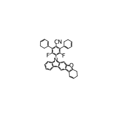 N#Cc1c(C2=CC=CCC2)c(F)c(-n2c3ccccc3c3cc4c5c(oc4cc32)CCC=C5)c(F)c1C1=CC=CCC1